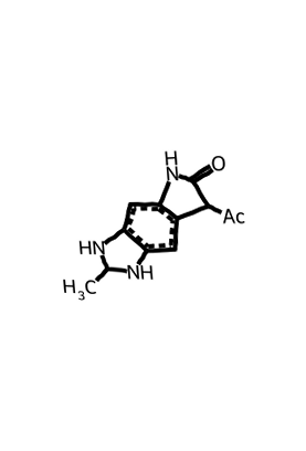 CC(=O)C1C(=O)Nc2cc3c(cc21)NC(C)N3